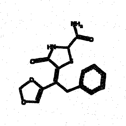 NC(=O)C1NC(=O)C(=C(Cc2ccccc2)C2=COCO2)S1